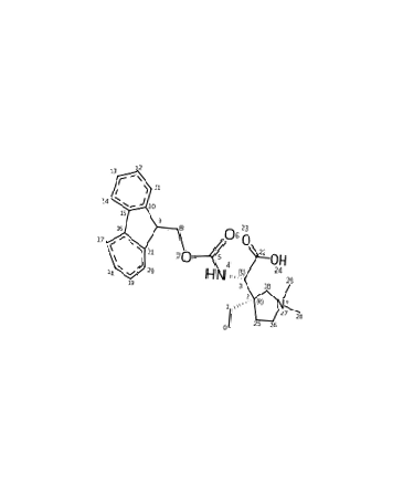 CC[C@@]1([C@H](NC(=O)OCC2c3ccccc3-c3ccccc32)C(=O)O)CC[N+](C)(C)C1